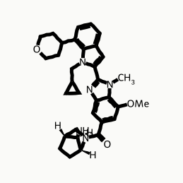 COc1cc(C(=O)N2C[C@H]3CC[C@@H]2[C@@H]3N)cc2nc(-c3cc4cccc(C5CCOCC5)c4n3CC3CC3)n(C)c12